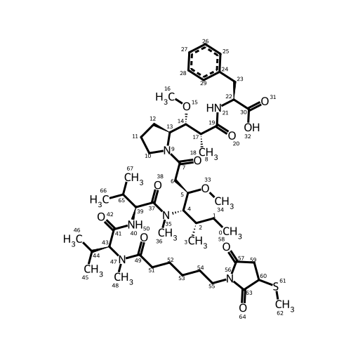 CC[C@H](C)[C@@H]([C@@H](CC(=O)N1CCC[C@H]1[C@H](OC)[C@@H](C)C(=O)N[C@@H](Cc1ccccc1)C(=O)O)OC)N(C)C(=O)[C@@H](NC(=O)[C@H](C(C)C)N(C)C(=O)CCCCCN1C(=O)CC(SC)C1=O)C(C)C